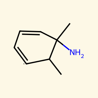 CC1[C]=CC=CC1(C)N